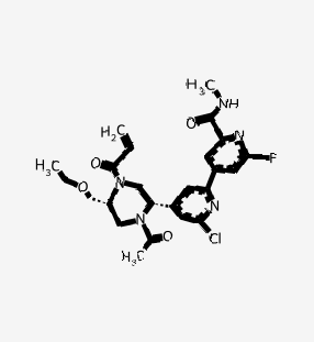 C=CC(=O)N1C[C@H](c2cc(Cl)nc(-c3cc(F)nc(C(=O)NC)c3)c2)N(C(C)=O)C[C@@H]1COCC